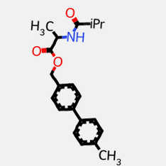 Cc1ccc(-c2ccc(COC(=O)C(C)NC(=O)C(C)C)cc2)cc1